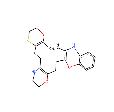 CC1=C(CCC2=C(CCC3=C(C)OCCS3)NCCO2)Oc2ccccc2N1